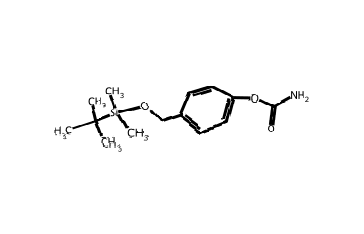 CC(C)(C)[Si](C)(C)OCc1ccc(OC(N)=O)cc1